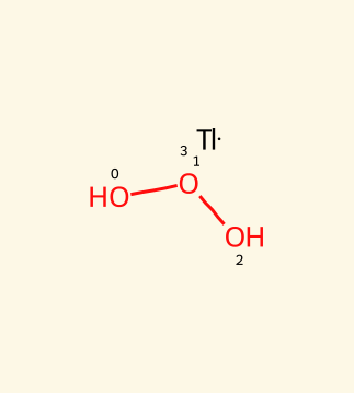 OOO.[Tl]